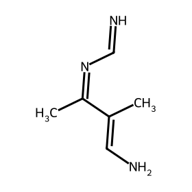 CC(=N/C=N)/C(C)=C/N